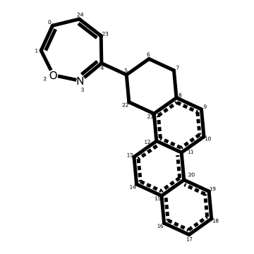 C1=CON=C(C2CCc3ccc4c(ccc5ccccc54)c3C2)C=C1